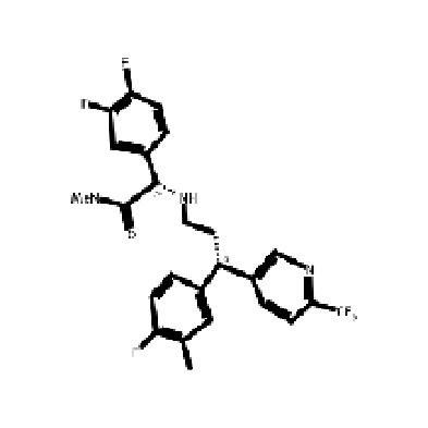 CNC(=O)[C@@H](NCC[C@H](c1ccc(C(F)(F)F)nc1)c1ccc(F)c(C)c1)c1ccc(F)c(F)c1